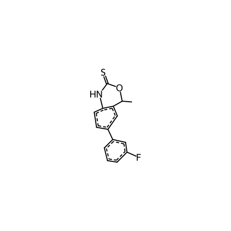 CC1OC(=S)Nc2ccc(-c3cccc(F)c3)cc21